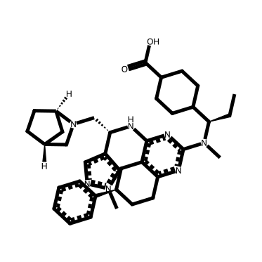 CC[C@H](C1CCC(C(=O)O)CC1)N(C)c1nc2c(c(N[C@@H](CN3C[C@@H]4CC[C@@H]3C4)c3cnn(C)c3)n1)C[C@H](c1ccccc1)CC2